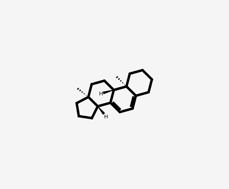 C[C@@]12CCC[C@H]1C1=CC=C3CCCC[C@]3(C)[C@H]1CC2